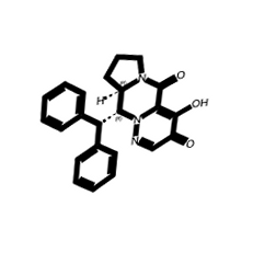 O=C1c2c(O)c(=O)cnn2[C@H](C(c2ccccc2)c2ccccc2)[C@H]2CCCN12